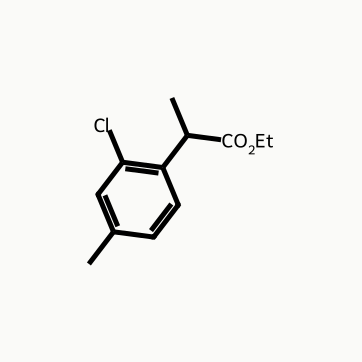 CCOC(=O)C(C)c1ccc(C)cc1Cl